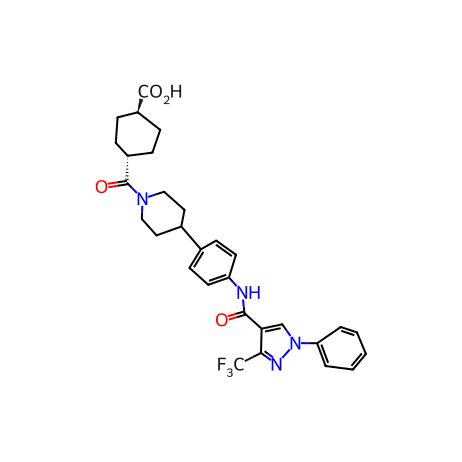 O=C(Nc1ccc(C2CCN(C(=O)[C@H]3CC[C@H](C(=O)O)CC3)CC2)cc1)c1cn(-c2ccccc2)nc1C(F)(F)F